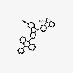 CC1(C)c2ccccc2-c2ccc(-n3c4ccc(C#N)cc4c4cc(-c5c6ccccc6c(-c6ccncc6)c6ccccc56)ccc43)cc21